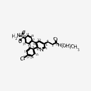 CN(O)C(=O)CCc1cnc(-c2ccc(Cl)cc2)c(-c2ccc(S(N)(=O)=O)cc2)c1